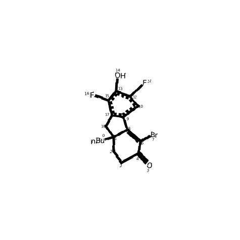 CCCCC12CCC(=O)C(Br)=C1c1cc(F)c(O)c(F)c1C2